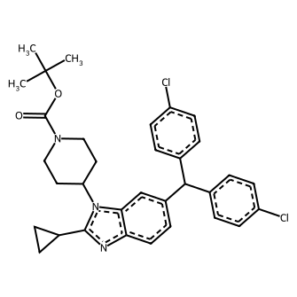 CC(C)(C)OC(=O)N1CCC(n2c(C3CC3)nc3ccc(C(c4ccc(Cl)cc4)c4ccc(Cl)cc4)cc32)CC1